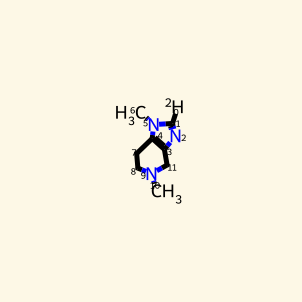 [2H]c1nc2c(n1C)CCN(C)C2